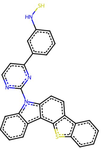 SNc1cccc(-c2ccnc(-n3c4ccccc4c4c5sc6ccccc6c5ccc43)n2)c1